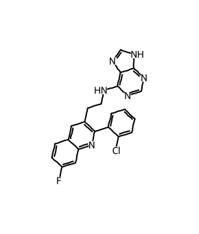 Fc1ccc2cc(CCNc3ncnc4[nH]cnc34)c(-c3ccccc3Cl)nc2c1